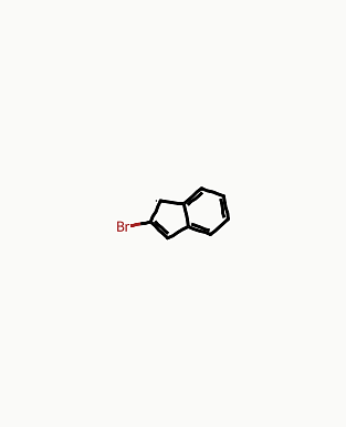 BrC1=Cc2ccccc2[CH]1